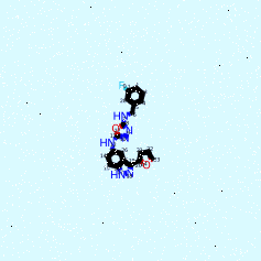 Fc1cccc(CNc2nnc(Nc3ccc4[nH]nc(-c5ccco5)c4c3)o2)c1